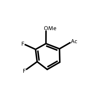 COc1c(C(C)=O)ccc(F)c1F